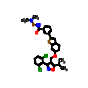 CC(C)c1onc(-c2c(Cl)cccc2Cl)c1COc1ccc2cc(-c3cccc(C(=O)NSN(C)C)c3)sc2c1